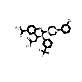 NC(=O)c1ccc2c(c1)C(CC(=O)O)N(c1cccc(C(F)(F)F)c1)C(N1CCN(c3cccc(Cl)c3)CC1)=N2